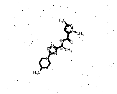 CC1CCN(c2noc([C@H](C)NC(=O)c3cc(C(F)(F)F)nn3C)n2)CC1